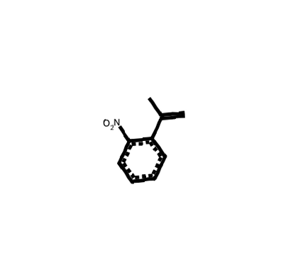 C=C(C)c1ccccc1[N+](=O)[O-]